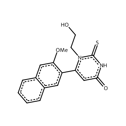 COc1cc2ccccc2cc1-c1cc(=O)[nH]c(=S)n1CCO